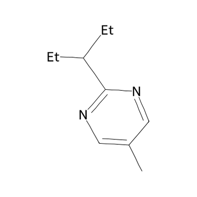 CCC(CC)c1ncc(C)cn1